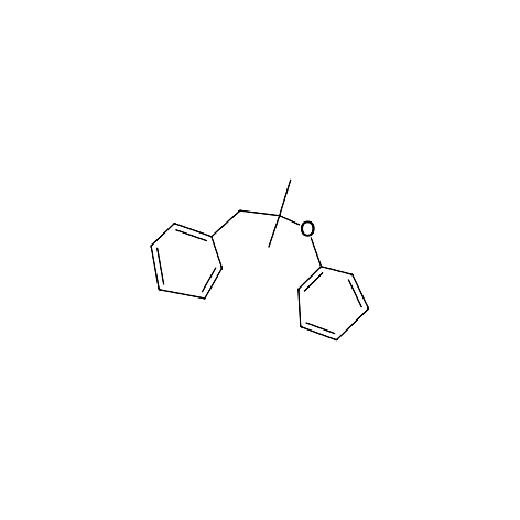 CC(C)(Cc1ccccc1)Oc1ccccc1